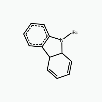 CCC(C)N1c2ccccc2C2C=CC=CC21